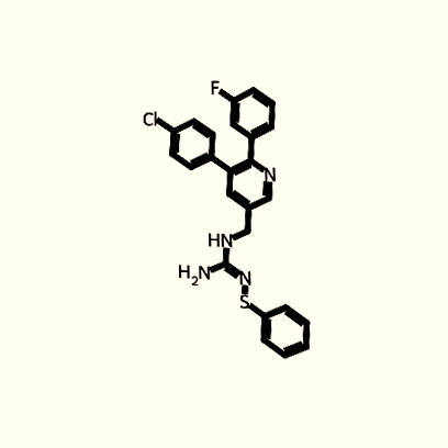 N/C(=N\Sc1ccccc1)NCc1cnc(-c2cccc(F)c2)c(-c2ccc(Cl)cc2)c1